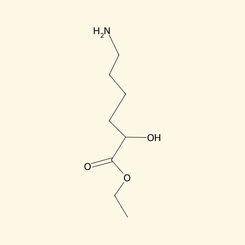 CCOC(=O)C(O)CCCCN